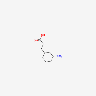 NC1CCCC(CCC(=O)O)C1